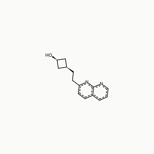 O[C@H]1C[C@@H](CCc2ccc3cccnc3n2)C1